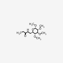 CCC(=O)NC[C@H]1O[C@H](OC)[C@H](OC)[C@@H](OC)[C@@H]1OC